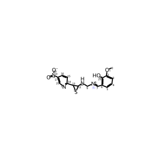 COc1cccc(/C=N/CNC2SC2c2ccc([N+](=O)[O-])cn2)c1O